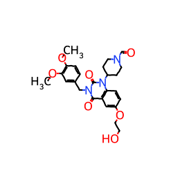 COc1ccc(Cn2c(=O)c3cc(OCCO)ccc3n(C3CCN(C=O)CC3)c2=O)cc1OC